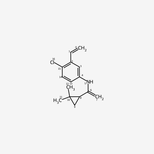 C=Cc1cc(NC(=C)C2CC2(C)C)ccc1Cl